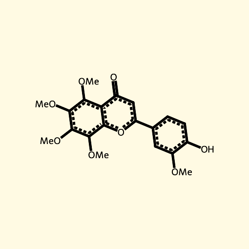 COc1cc(-c2cc(=O)c3c(OC)c(OC)c(OC)c(OC)c3o2)ccc1O